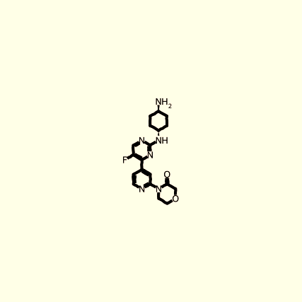 N[C@H]1CC[C@H](Nc2ncc(F)c(-c3ccnc(N4CCOCC4=O)c3)n2)CC1